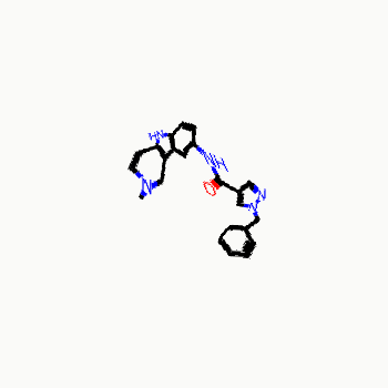 CN1CCc2[nH]c3ccc(NC(=O)c4cnn(Cc5ccccc5)c4)cc3c2C1